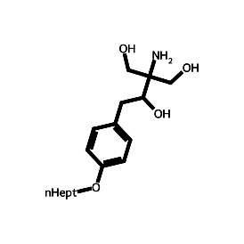 CCCCCCCOc1ccc(CC(O)C(N)(CO)CO)cc1